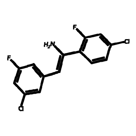 N/C(=C\c1cc(F)cc(Cl)c1)c1ccc(Cl)cc1F